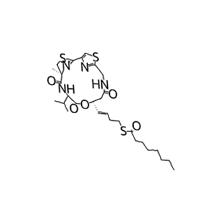 CCCCCCCC(=O)SCC/C=C/[C@H]1CC(=O)NCc2nc(cs2)C2=N[C@](C)(CS2)C(=O)NC(C(C)C)C(=O)O1